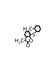 Cc1ccccc1Sc1cccc2c1OC(=O)C2C